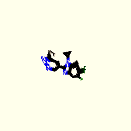 CC(C)c1cc(-c2nc3cc(F)c(F)cc3n2C2CC2)cnn1